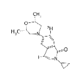 [2H]c1cc2c(=O)n(C3CC3)cc(I)c2cc1N1C[C@@H](C)O[C@@H](C)C1